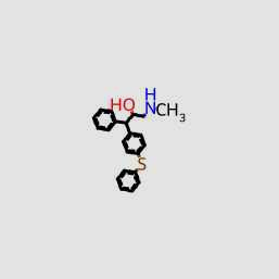 CNCC(O)C(c1ccccc1)c1ccc(Sc2ccccc2)cc1